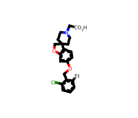 CCc1cccc(Cl)c1COc1ccc2c(c1)OCC21CCN(CC(=O)O)CC1